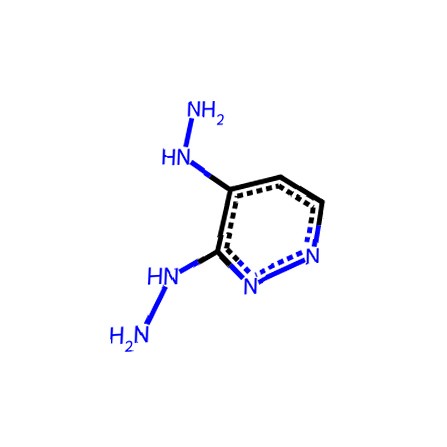 NNc1ccnnc1NN